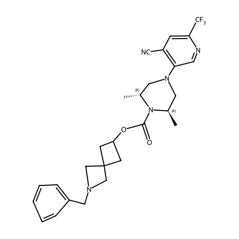 C[C@@H]1CN(c2cnc(C(F)(F)F)cc2C#N)C[C@@H](C)N1C(=O)OC1CC2(C1)CN(Cc1ccccc1)C2